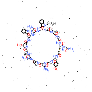 CCCC[C@H]1C(=O)N(C)[C@@H](CCCC)C(=O)N[C@@H](C)C(=O)N[C@H](C(=O)NCC(N)=O)CSCC(=O)N[C@@H](Cc2ccc(O)cc2)C(=O)N(C)[C@@H](C)C(=O)N[C@@H](CC(N)=O)C(=O)N2CCC[C@H]2C(=O)N[C@@H](CN)C(=O)N[C@@H](CC(C)C)C(=O)N2C[C@H](O)C[C@H]2C(=O)N[C@@H](Cc2c[nH]c3ccccc23)C(=O)N[C@@H](CCN)C(=O)N[C@@H](Cc2cn(CC(=O)O)c3ccccc23)C(=O)N1C